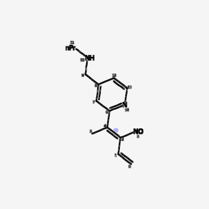 C=C/C(N=O)=C(\C)c1cc(CNCCC)ccn1